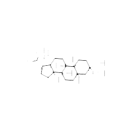 CC(O)[C@H]1CC[C@H]2[C@@H]3CC[C@H]4C[C@@](C)(O)CC[C@@H]4[C@H]3CC[C@]12C